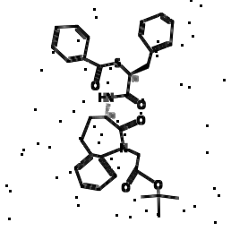 CC(C)(C)OC(=O)CN1C(=O)[C@@H](NC(=O)[C@H](Cc2ccccc2)SC(=O)c2ccccc2)CCc2ccccc21